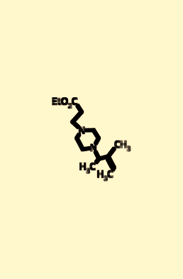 C/C=C(/C)C(C)N1CCN(CCC(=O)OCC)CC1